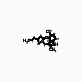 CCCC1CC(=O)N(Cc2c(C)[nH]c3ccc(Cl)cc23)C1